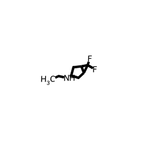 CCNC1CC2C(C1)C2(F)F